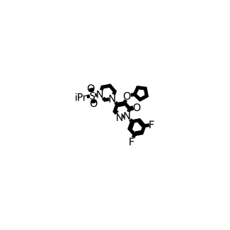 CC(C)S(=O)(=O)N1CCCN(c2cnn(-c3cc(F)cc(F)c3)c(=O)c2OC2CCCC2)C1